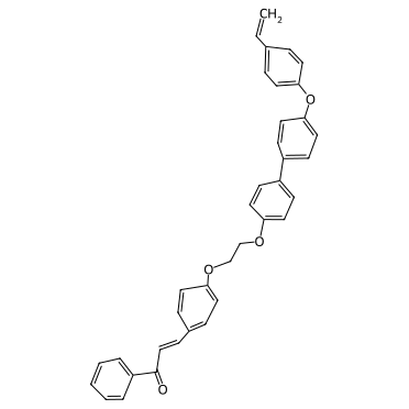 C=Cc1ccc(Oc2ccc(-c3ccc(OCCOc4ccc(/C=C/C(=O)c5ccccc5)cc4)cc3)cc2)cc1